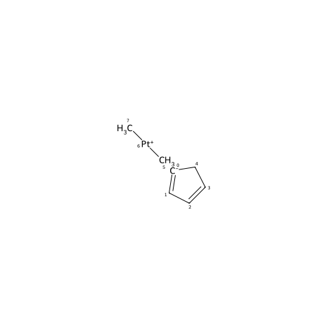 [C-]1=CC=CC1.[CH3][Pt+][CH3]